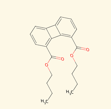 CCCCOC(=O)c1cccc2c1-c1c(C(=O)OCCCC)cccc1-2